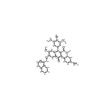 COC(=O)c1c(-c2cc(OC)c(Br)c(OC)c2)c2cc(OC)c(OCc3nccc4ccccc34)cc2c(=O)n1-c1ccc(N)cc1